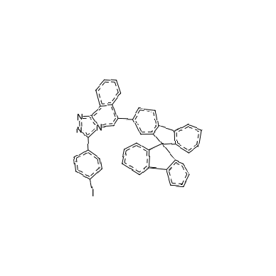 Ic1ccc(-c2nnc3c4ccccc4c(-c4ccc5c(c4)C4(c6ccccc6-c6ccccc64)c4ccccc4-5)cn23)cc1